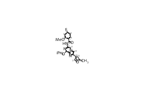 COc1cc(F)ccc1C(=O)Nc1cn2cc(C34COC(C)(C3)C4)nc2c(OC(C)C)n1